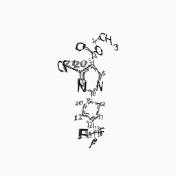 CCOC(=O)c1cnc(-c2ccc(C(F)(F)F)cc2)nc1Cl